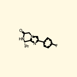 CC(C)[C@@H]1NC(=O)Cn2cc(-c3ccc(F)cc3)nc21